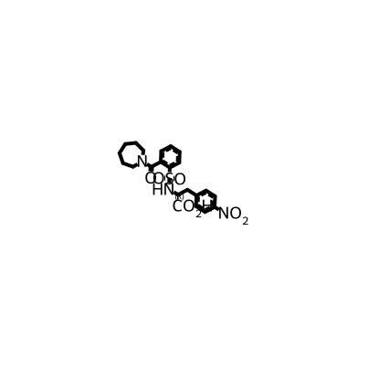 O=C(O)[C@@H](Cc1ccc([N+](=O)[O-])cc1)NS(=O)(=O)c1ccccc1C(=O)N1CCCCCC1